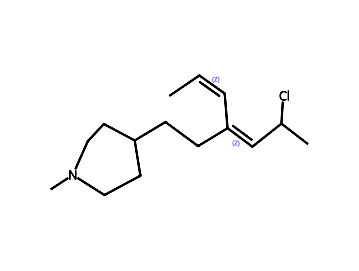 C/C=C\C(=C/C(C)Cl)CCC1CCN(C)CC1